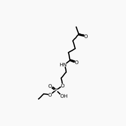 CCOP(=O)(O)OCCNC(=O)CCCC(C)=O